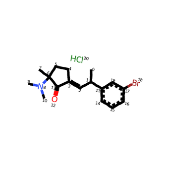 CC(/C=C1\CCC(C)(N(C)C)C1=O)c1cccc(Br)c1.Cl